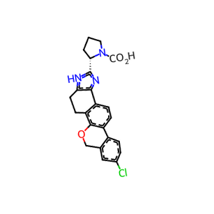 O=C(O)N1CCC[C@H]1c1nc2c([nH]1)CCc1c-2ccc2c1OCc1cc(Cl)ccc1-2